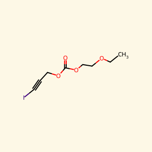 CCOCCOC(=O)OCC#CI